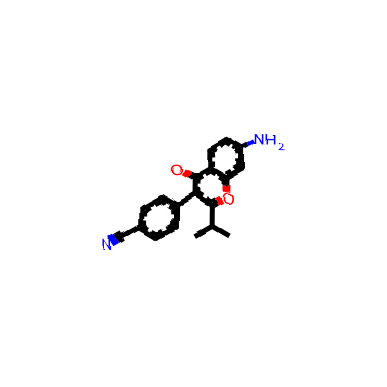 CC(C)c1oc2cc(N)ccc2c(=O)c1-c1ccc(C#N)cc1